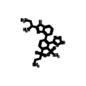 NCCS(=O)(=O)c1ccc(-c2cccc3[nH]c(C(N)CN)nc23)c(-c2nn[nH]n2)c1S(N)(=O)=O